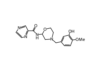 COc1ccc(CN2CCOC(NC(=O)c3cnccn3)C2)cc1O